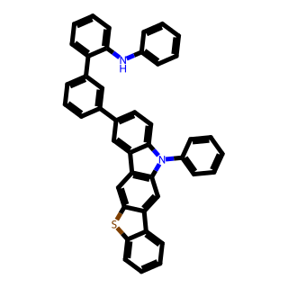 c1ccc(Nc2ccccc2-c2cccc(-c3ccc4c(c3)c3cc5sc6ccccc6c5cc3n4-c3ccccc3)c2)cc1